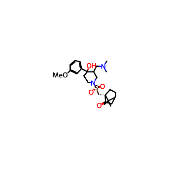 COc1cccc(C2(O)CCN(S(=O)(=O)C[C@@]34CCC(CC3=O)C4(C)C)CC2CN(C)C)c1